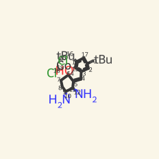 CC(C)(C)c1cc(C=C2CCCC(N)C2N)c(O)c(C(C)(C)C)c1.[Cl][Co][Cl]